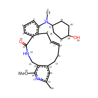 CCN(c1cccc2c1C/C=C/CCc1cc(C)nc(OC)c1CNC2=O)C1CCC(O)CC1